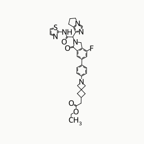 CCOC(=O)CC1CC2(C1)CN(c1ccc(-c3cc(F)c4c(c3)C(=O)N(C(C(=O)Nc3nccs3)c3ncn5c3CCC5)C4)cc1)C2